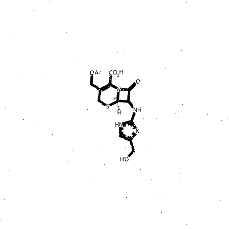 CC(=O)OCC1=C(C(=O)O)N2C(=O)C(Nc3nc(CO)c[nH]3)[C@H]2SC1